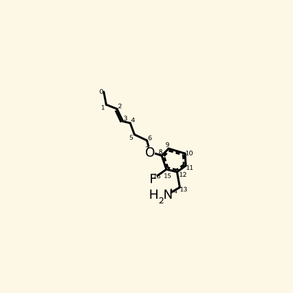 CCC=CCCCOc1cccc(CN)c1F